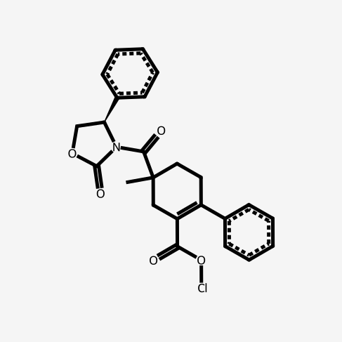 CC1(C(=O)N2C(=O)OC[C@H]2c2ccccc2)CCC(c2ccccc2)=C(C(=O)OCl)C1